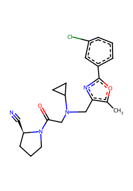 Cc1oc(-c2cccc(Cl)c2)nc1CN(CC(=O)N1CCC[C@H]1C#N)C1CC1